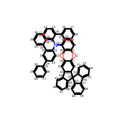 C1=C2Oc3cccc(N(c4ccccc4-c4ccccc4)c4ccc(-c5ccccc5)cc4-c4ccccc4)c3OC2=CC2c3ccccc3C3(c4ccccc4-c4ccccc43)C12